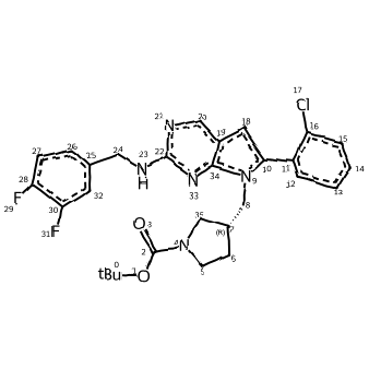 CC(C)(C)OC(=O)N1CC[C@@H](Cn2c(-c3ccccc3Cl)cc3cnc(NCc4ccc(F)c(F)c4)nc32)C1